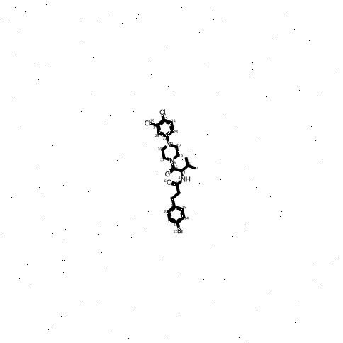 CC(C)[C@@H](NC(=O)CCc1ccc(Br)cc1)C(=O)N1CCN(c2ccc(Cl)c(Cl)c2)CC1